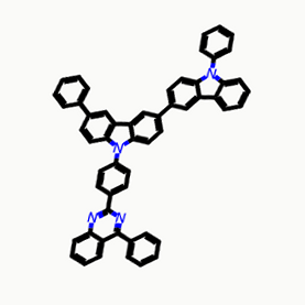 c1ccc(-c2ccc3c(c2)c2cc(-c4ccc5c(c4)c4ccccc4n5-c4ccccc4)ccc2n3-c2ccc(-c3nc(-c4ccccc4)c4ccccc4n3)cc2)cc1